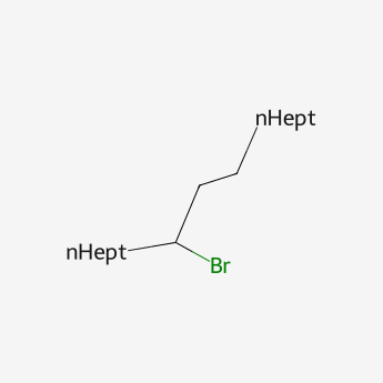 CCCCCCCCCC(Br)CCCCCCC